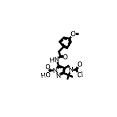 COc1ccc(CC(=O)Nc2c3c(nn2C(=O)O)C(C)(C)N(C(=O)Cl)C3)cc1